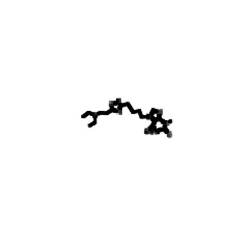 CCN(CC)CCc1nc(CCCCn2cnc3c2c(=O)[nH]c(=O)n3C)no1